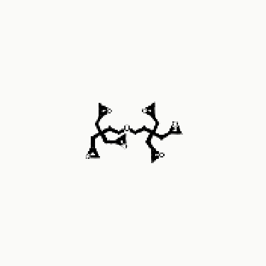 C(CC(CC1CO1)(CC1CO1)CC1CO1)OCCC(CC1CO1)(CC1CO1)CC1CO1